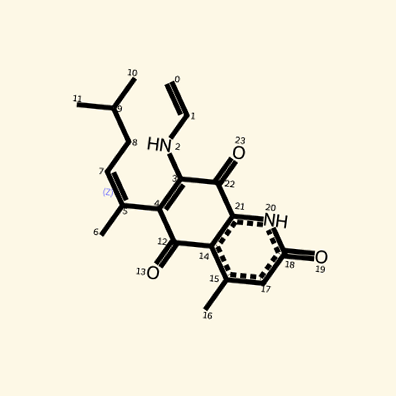 C=CNC1=C(/C(C)=C\CC(C)C)C(=O)c2c(C)cc(=O)[nH]c2C1=O